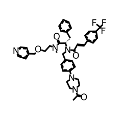 CC(=O)N1CCN(c2ccc(CN(C(=O)C=Cc3ccc(C(F)(F)F)cc3)[C@@H](Cc3ccccc3)C(=O)N(C)CCOCc3ccncc3)cc2)CC1